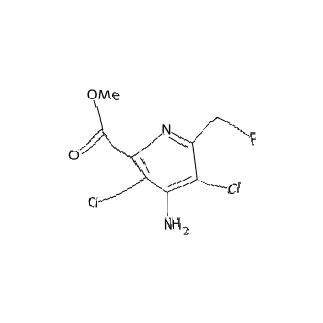 COC(=O)c1nc(CF)c(Cl)c(N)c1Cl